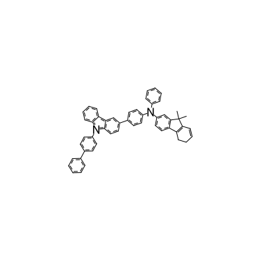 CC1(C)C2=C(CCC=C2)c2ccc(N(c3ccccc3)c3ccc(-c4ccc5c(c4)c4ccccc4n5-c4ccc(-c5ccccc5)cc4)cc3)cc21